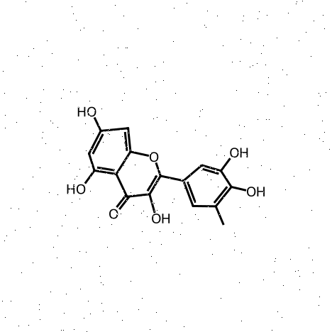 Cc1cc(-c2oc3cc(O)cc(O)c3c(=O)c2O)cc(O)c1O